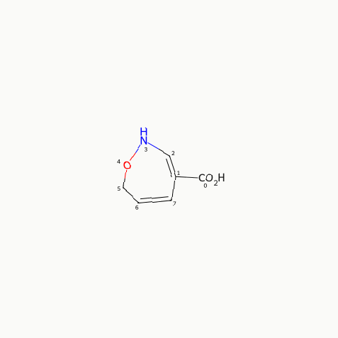 O=C(O)C1=CNOCC=C1